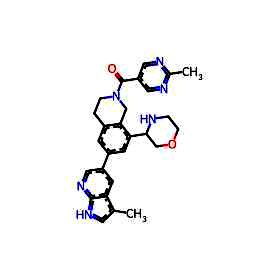 Cc1ncc(C(=O)N2CCc3cc(-c4cnc5[nH]cc(C)c5c4)cc(C4COCCN4)c3C2)cn1